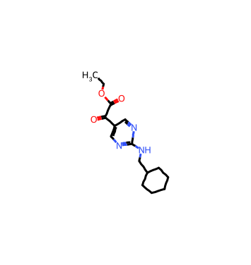 CCOC(=O)C(=O)c1cnc(NCC2CCCCC2)nc1